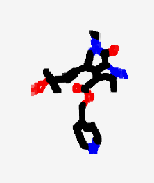 Cc1[nH]c2c(=O)n(C)cc(C#CC(C)(C)O)c2c1C(=O)OCc1ccncc1